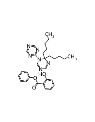 CCCCCC1(CCCCC)N=CN=CN1c1ncncn1.O=C(Oc1ccccc1)c1ccccc1O